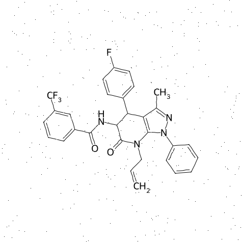 C=CCN1C(=O)C(NC(=O)c2cccc(C(F)(F)F)c2)C(c2ccc(F)cc2)c2c(C)nn(-c3ccccc3)c21